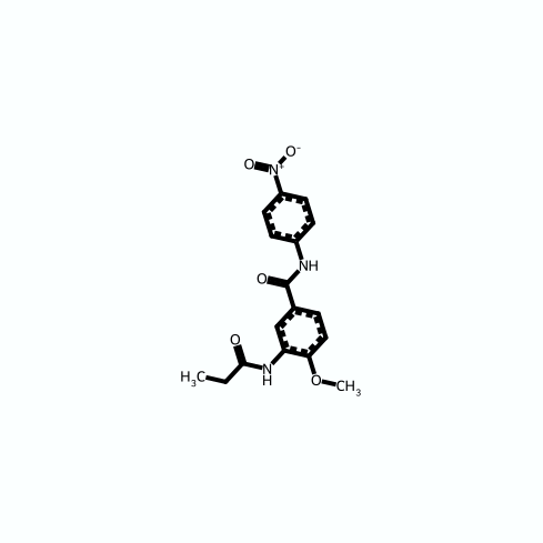 CCC(=O)Nc1cc(C(=O)Nc2ccc([N+](=O)[O-])cc2)ccc1OC